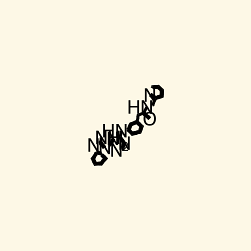 Nc1nc2ccccc2n1-c1ncnc(Nc2cccc(CC(=O)NCc3ccccn3)c2)n1